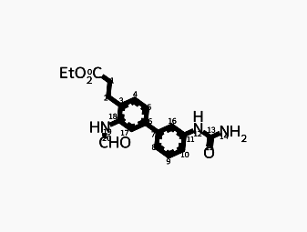 CCOC(=O)CCc1ccc(-c2cccc(NC(N)=O)c2)cc1NC=O